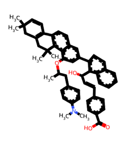 CC(Cc1ccc(N(C)C)cc1)Oc1cc(-c2ccc3ccccc3c2C(O)C=Cc2ccc(C(=O)O)cc2)cc2ccc3c(c12)C(C)(C)CC1=C3C=CC(C)(C)C1